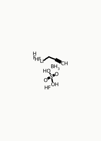 B.F.F.F.O=S(=O)(O)O.[Li][CH2]C#C